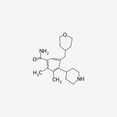 Cc1c(C(N)=O)cc(CC2CCOCC2)c(C2CCNCC2)c1C